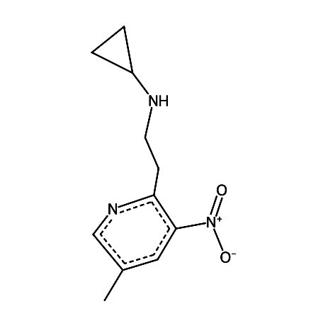 Cc1cnc(CCNC2CC2)c([N+](=O)[O-])c1